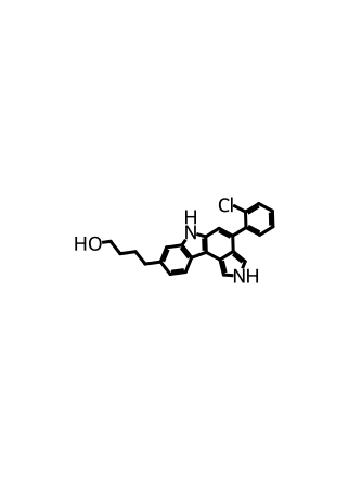 OCCCCc1ccc2c(c1)[nH]c1cc(-c3ccccc3Cl)c3c[nH]cc3c12